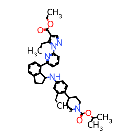 CCOC(=O)c1cnn(-c2cccc(-c3cccc4c3C(Nc3ccc(C5CCN(C(=O)OC(C)C)CC5)c(CC)c3)CC4)n2)c1CC